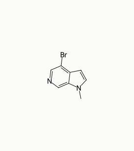 Cn1ccc2c(Br)cncc21